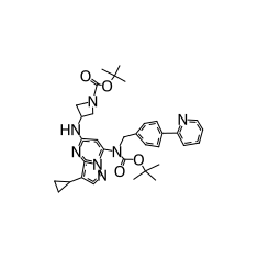 CC(C)(C)OC(=O)N1CC(Nc2cc(N(Cc3ccc(-c4ccccn4)cc3)C(=O)OC(C)(C)C)n3ncc(C4CC4)c3n2)C1